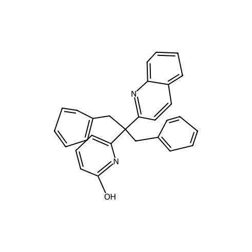 Oc1cccc(C(Cc2ccccc2)(Cc2ccccc2)c2ccc3ccccc3n2)n1